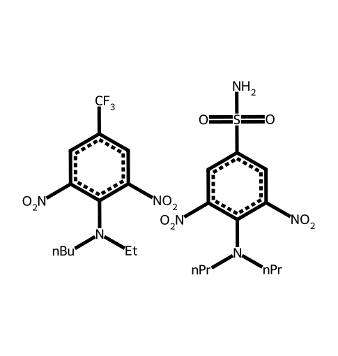 CCCCN(CC)c1c([N+](=O)[O-])cc(C(F)(F)F)cc1[N+](=O)[O-].CCCN(CCC)c1c([N+](=O)[O-])cc(S(N)(=O)=O)cc1[N+](=O)[O-]